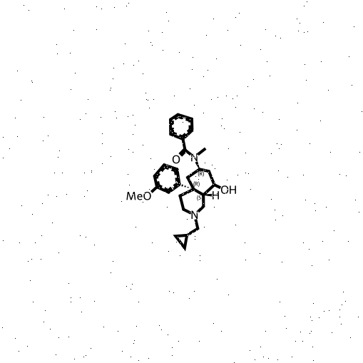 COc1cccc([C@@]23CCN(CC4CC4)C[C@H]2C(O)C[C@H](N(C)C(=O)c2ccccc2)C3)c1